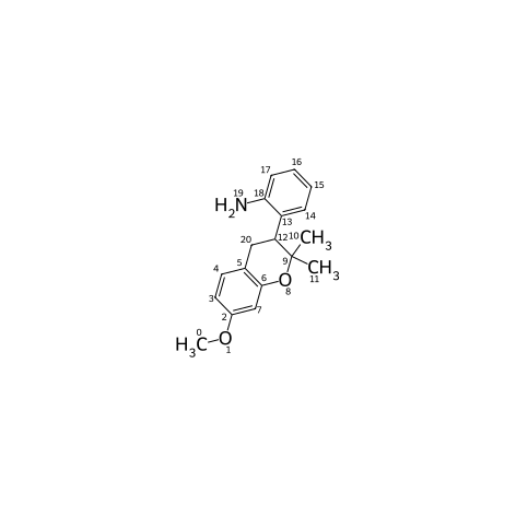 COc1ccc2c(c1)OC(C)(C)C(c1ccccc1N)C2